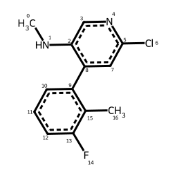 CNc1cnc(Cl)cc1-c1cccc(F)c1C